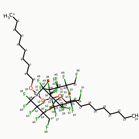 CCCCCCCCCC[O][Sn]([O][Sn]([O]CCCCCCCCCC)([C](F)(F)C(F)(F)C(F)(F)CF)[C](F)(F)C(F)(F)C(F)(F)CF)([C](F)(F)C(F)(F)C(F)(F)CF)[C](F)(F)C(F)(F)C(F)(F)CF